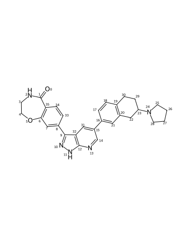 O=C1NCCOc2cc(-c3n[nH]c4ncc(-c5ccc6c(c5)CC(N5CCCC5)CC6)cc34)ccc21